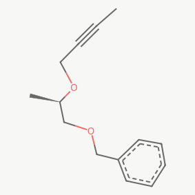 CC#CCO[C@H](C)COCc1ccccc1